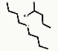 CCCC(C)O.CCCCOCCCC